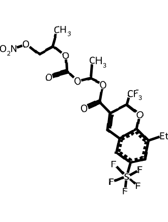 CCc1cc(S(F)(F)(F)(F)F)cc2c1OC(C(F)(F)F)C(C(=O)OC(C)OC(=O)OC(C)CO[N+](=O)[O-])=C2